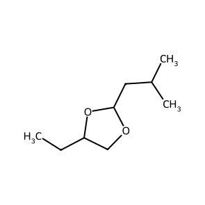 CCC1COC(CC(C)C)O1